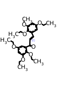 CCOc1cc(/C=C/C(=O)c2cc(OCC)cc(OCC)c2OCC)c(OCC)c(OC)c1